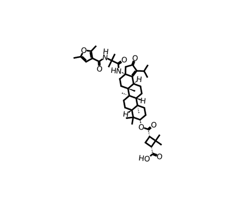 Cc1cc(C(=O)NC(C)(C)C(=O)N[C@@]23CC[C@]4(C)[C@H](CC[C@@H]5[C@@]6(C)CC[C@H](OC(=O)[C@H]7C[C@@H](C(=O)O)C7(C)C)C(C)(C)[C@@H]6CC[C@]54C)C2=C(C(C)C)C(=O)C3)c(C)o1